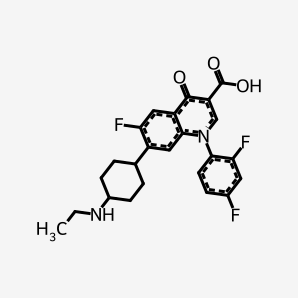 CCNC1CCC(c2cc3c(cc2F)c(=O)c(C(=O)O)cn3-c2ccc(F)cc2F)CC1